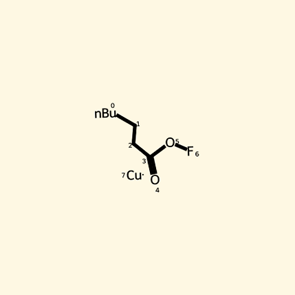 CCCCCCC(=O)OF.[Cu]